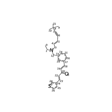 CCN(CC=CC#CC(C)(C)C)Cc1cccc(C=CC(=O)C=Cc2ccsc2)c1